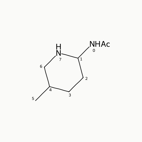 CC(=O)NC1CCC(C)CN1